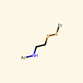 CCSSCCNC(C)=O